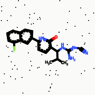 CC(C)C(N/C(N)=N/C#N)c1ccc(-c2ccc3cccc(F)c3c2)[nH]c1=O